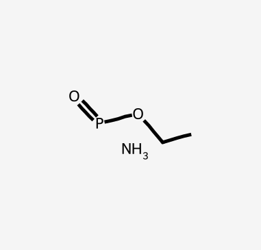 CCOP=O.N